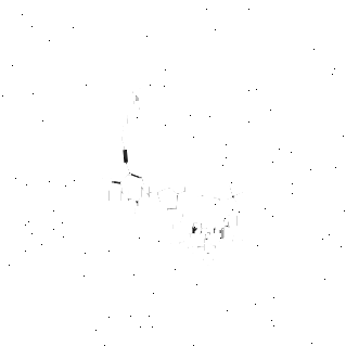 CC(C)(C)SSCOC1C[C@H](n2cc(C#CCOCSSI)c(=O)[nH]c2=O)O[C@@H]1COP(=O)(O)OP(=O)(O)OP(=O)(O)O